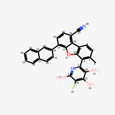 Bc1nc(-c2c(C)ccc3c2oc2c(-c4ccc5ccccc5c4)ccc(C#N)c23)c(B)c(B)c1F